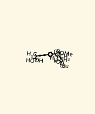 COC(=O)[C@@H](NC(=O)c1ccc(C#CC#CC(C)C(O)CO)cc1)C(C)(C)NC(=O)OC(C)(C)C